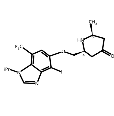 CC(C)n1cnc2c(I)c(OC[C@@H]3CC(=O)C[C@H](C)N3)cc(C(F)(F)F)c21